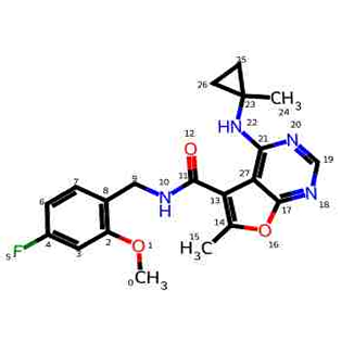 COc1cc(F)ccc1CNC(=O)c1c(C)oc2ncnc(NC3(C)CC3)c12